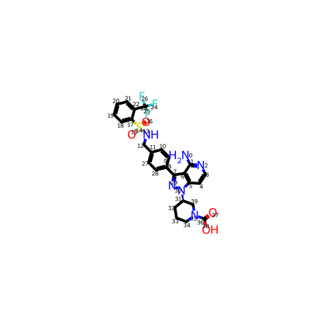 Nc1nccc2c1c(-c1ccc(CNS(=O)(=O)c3ccccc3C(F)(F)F)cc1)nn2[C@@H]1CCCN(C(=O)O)C1